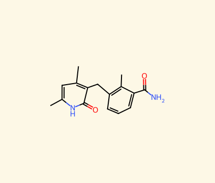 Cc1cc(C)c(Cc2cccc(C(N)=O)c2C)c(=O)[nH]1